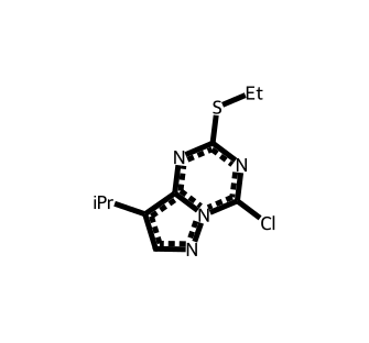 CCSc1nc(Cl)n2ncc(C(C)C)c2n1